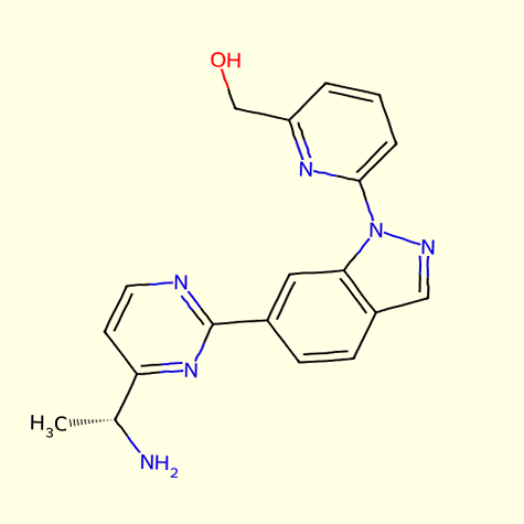 C[C@@H](N)c1ccnc(-c2ccc3cnn(-c4cccc(CO)n4)c3c2)n1